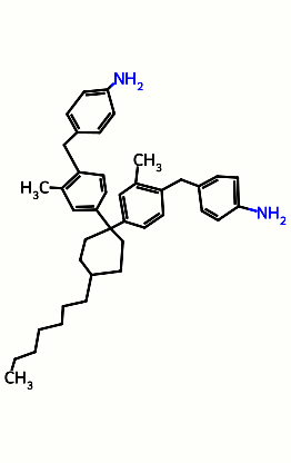 CCCCCCCC1CCC(c2ccc(Cc3ccc(N)cc3)c(C)c2)(c2ccc(Cc3ccc(N)cc3)c(C)c2)CC1